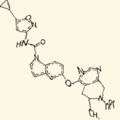 CCCN1Cc2ncnc(Oc3ccc4c(ccn4C(=O)Nc4cc(C5CC5)on4)c3)c2CC1C